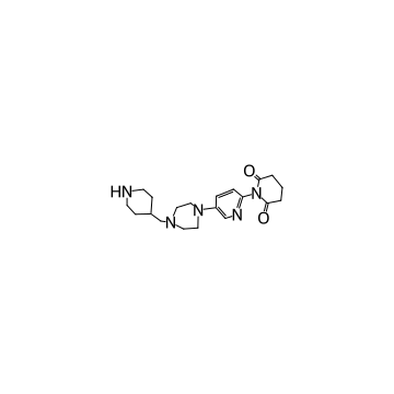 O=C1CCCC(=O)N1c1ccc(N2CCN(CC3CCNCC3)CC2)cn1